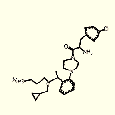 CSCCCN(CC1CC1)C(C)c1ccccc1N1CCN(C(=O)C(N)Cc2ccc(Cl)cc2)CC1